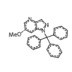 COc1cnc2cnn(C(c3ccccc3)(c3ccccc3)c3ccccc3)c2c1